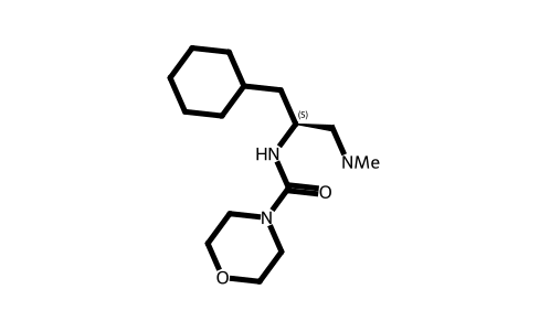 CNC[C@H](CC1CCCCC1)NC(=O)N1CCOCC1